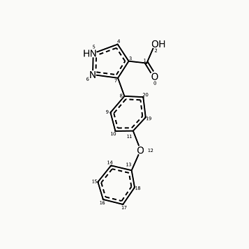 O=C(O)c1c[nH]nc1-c1ccc(Oc2ccccc2)cc1